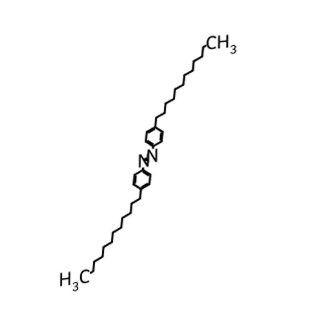 CCCCCCCCCCCCc1ccc(N=Nc2ccc(CCCCCCCCCCCC)cc2)cc1